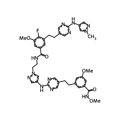 CONC(=O)c1cc(CCc2cnc(Nc3cnn(CCNC(=O)c4cc(CCc5cnc(Nc6cnn(C)c6)nc5)c(F)c(OC)c4)c3)nc2)cc(OC)c1